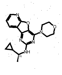 C[C@H](Nc1nc(N2CCOCC2)c2oc3ncccc3c2n1)C1CC1